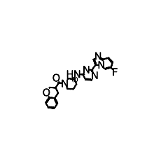 O=C(C1COc2ccccc2C1)N1CCC[C@@H](Nc2ccnc(-c3cnc4ccc(F)cn34)n2)C1